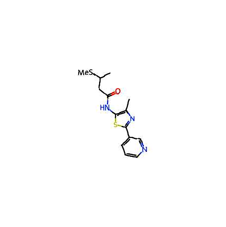 CSC(C)CC(=O)Nc1sc(-c2cccnc2)nc1C